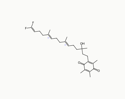 CC1=C(C)C(=O)C(CCC(C)(O)CC/C=C(\C)CC/C=C(\C)CCC=C(F)F)=C(C)C1=O